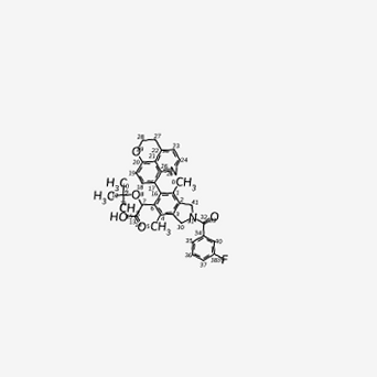 Cc1c2c(c(C)c(C(OC(C)(C)C)C(=O)O)c1-c1ccc3c4c(ccnc14)CCO3)CN(C(=O)c1cccc(F)c1)C2